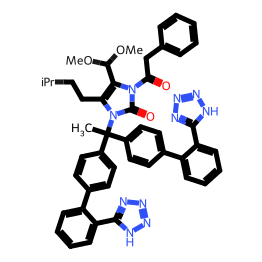 COC(OC)c1c(CCC(C)C)n(C(C)(c2ccc(-c3ccccc3-c3nnn[nH]3)cc2)c2ccc(-c3ccccc3-c3nnn[nH]3)cc2)c(=O)n1C(=O)Cc1ccccc1